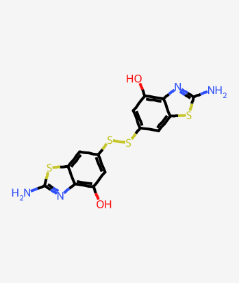 Nc1nc2c(O)cc(SSc3cc(O)c4nc(N)sc4c3)cc2s1